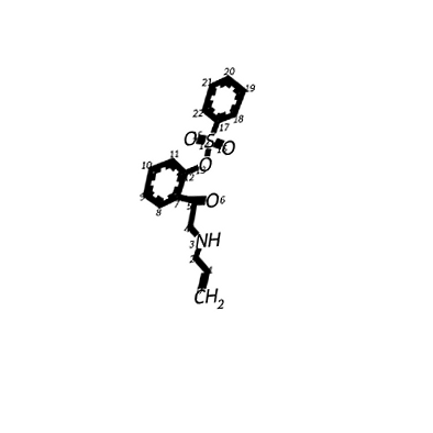 C=CCNCC(=O)c1ccccc1OS(=O)(=O)c1ccccc1